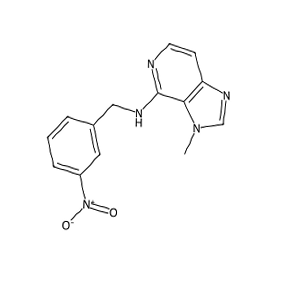 Cn1cnc2ccnc(NCc3cccc([N+](=O)[O-])c3)c21